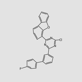 Fc1ccc(-c2cccc(-c3nc(Cl)nc(-c4cccc5c4oc4ccccc45)n3)c2)cc1